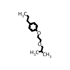 CCCc1ccc(OCCOCC(C)C)cc1